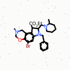 CCOC(=O)C1c2c(cc(Br)c3c2CN(C)CO3)N(Cc2ccccc2)C1CN1CCCCC1C